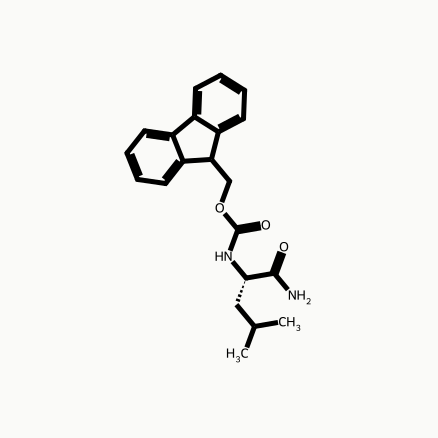 CC(C)C[C@H](NC(=O)OCC1c2ccccc2-c2ccccc21)C(N)=O